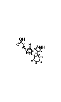 O=C(O)CSc1nnc(-c2c[nH]nc2-c2ccccc2)[nH]1